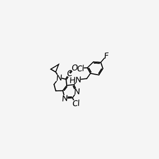 O=C=C1c2c(nc(Cl)nc2NCc2ccc(F)cc2Cl)CCN1C1CC1